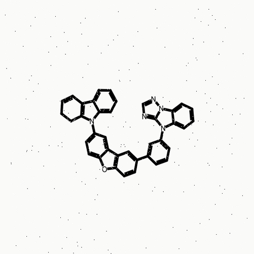 C1=Cc2c(n(-c3ccc4oc5ccc(-c6cccc(-n7c8ccccc8n8ncnc78)c6)cc5c4c3)c3ccccc23)CC1